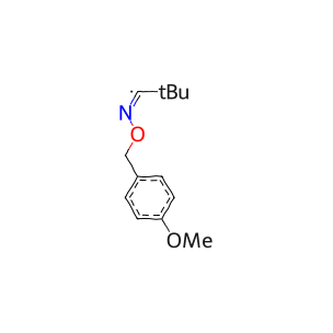 COc1ccc(CO/N=[C]\C(C)(C)C)cc1